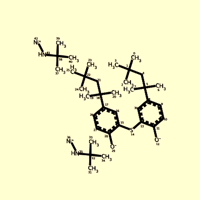 CC(C)(C)CC(C)(C)c1ccc([O-])c(Sc2cc(C(C)(C)CC(C)(C)C)ccc2[O-])c1.CC(C)(C)[NH][Ni+].CC(C)(C)[NH][Ni+]